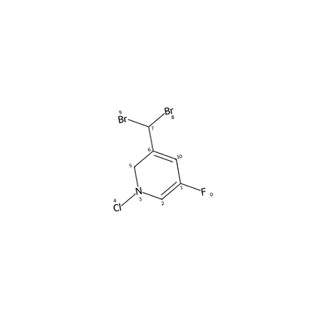 FC1=CN(Cl)CC(C(Br)Br)=C1